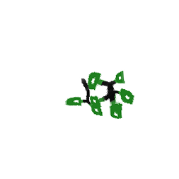 CCC(Cl)Cl.ClC(Cl)C(Cl)(Cl)Cl